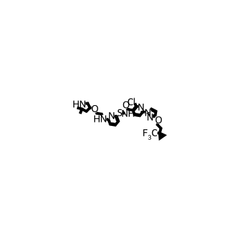 CC1(C)CC(OCCNc2cccc(SNC(=O)c3ccc(-n4ccc(OCCC5(C(F)(F)F)CC5)n4)nc3Cl)n2)CN1